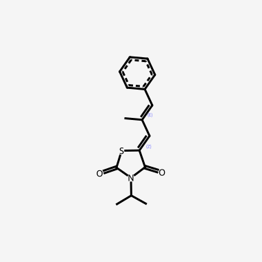 CC(/C=C1\SC(=O)N(C(C)C)C1=O)=C\c1ccccc1